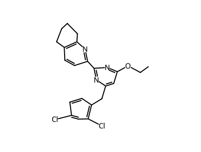 CCOc1cc(Cc2ccc(Cl)cc2Cl)nc(-c2ccc3c(n2)CCCC3)n1